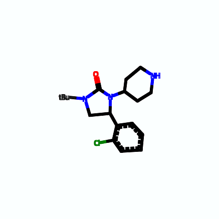 CC(C)(C)N1CC(c2ccccc2Cl)N(C2CCNCC2)C1=O